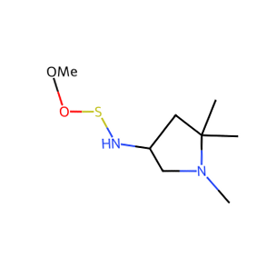 COOSNC1CN(C)C(C)(C)C1